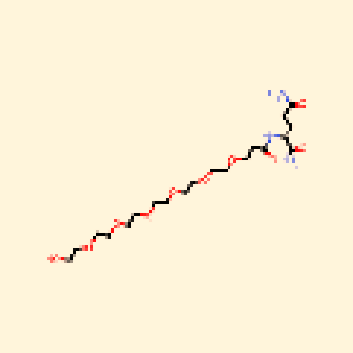 NC(=O)CC[C@H](NC(=O)CCOCCOCCOCCOCCOCCOCCO)C(N)=O